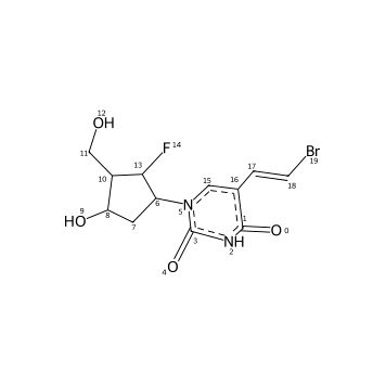 O=c1[nH]c(=O)n(C2CC(O)C(CO)C2F)cc1/C=C/Br